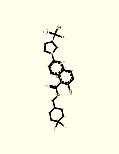 CC(C)(O)[C@@H]1CCN(c2ccc3c(C(=O)NCC4CCC(F)(F)CC4)c(Cl)ccc3n2)C1